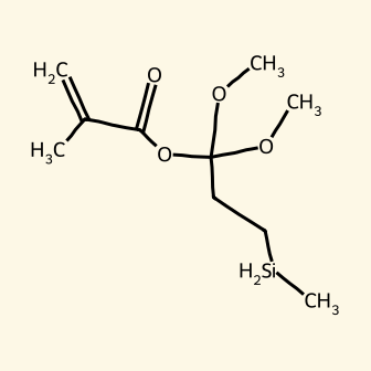 C=C(C)C(=O)OC(CC[SiH2]C)(OC)OC